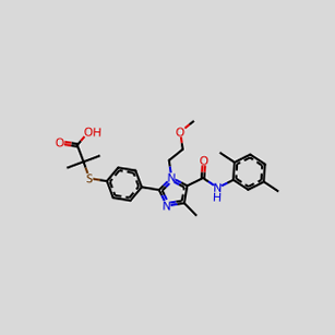 COCCn1c(-c2ccc(SC(C)(C)C(=O)O)cc2)nc(C)c1C(=O)Nc1cc(C)ccc1C